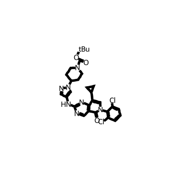 CC(C)(C)OC(=O)N1CCC(n2cc(Nc3ncc4c(=O)n(-c5c(Cl)cccc5Cl)cc(C5CC5)c4n3)cn2)CC1